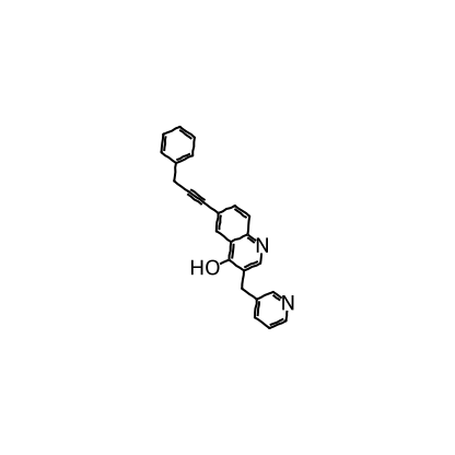 Oc1c(Cc2cccnc2)cnc2ccc(C#CCc3ccccc3)cc12